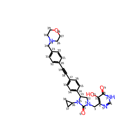 O=C1N(Cc2nc[nH]c(=O)c2O)CC(c2ccc(C#Cc3ccc(CN4CCOCC4)cc3)cc2)N1C1CC1